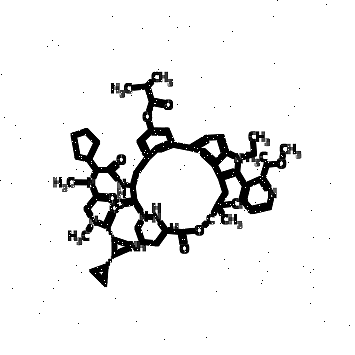 CCn1c(-c2cccnc2[C@H](C)OC)c2c3cc(ccc31)-c1cc(cc(OC(=O)C(C)C)c1)C[C@H](NC(=O)C(C1CCCC1)N(C)C(=O)CN(C)C(=O)[C@@H]1N[C@@H]1C1CC1)C(=O)N1CCC[C@H](N1)C(=O)OCC(C)(C)C2